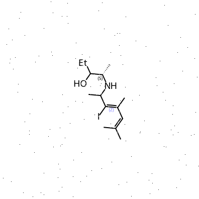 CCC(O)[C@H](C)NC(C)/C(I)=C(\C)C=C(C)C